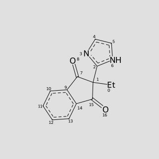 CCC1(c2ncc[nH]2)C(=O)c2ccccc2C1=O